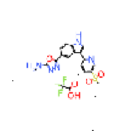 CS(=O)(=O)c1ccc(-c2c[nH]c3ccc(-c4nnc(N)o4)cc23)nc1.O=C(O)C(F)(F)F